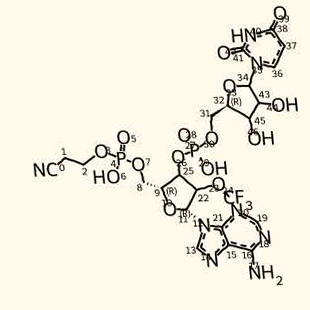 N#CCCOP(=O)(O)OC[C@H]1O[C@@H](n2cnc3c(N)ncnc32)C(OC(F)(F)F)C1OP(=O)(O)OC[C@H]1OC(n2ccc(=O)[nH]c2=O)C(O)C1O